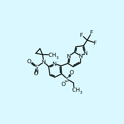 CCS(=O)(=O)c1ccc(N([SH](=O)=O)C2(C)CC2)nc1-c1ccn2nc(C(F)(F)F)cc2n1